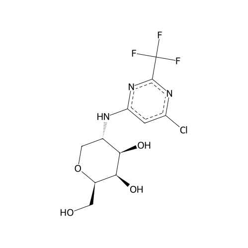 OC[C@H]1OC[C@H](Nc2cc(Cl)nc(C(F)(F)F)n2)[C@@H](O)[C@H]1O